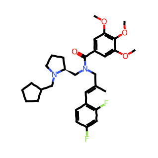 COc1cc(C(=O)N(CC(C)=Cc2ccc(F)cc2F)C[C@@H]2CCCN2CC2CCCC2)cc(OC)c1OC